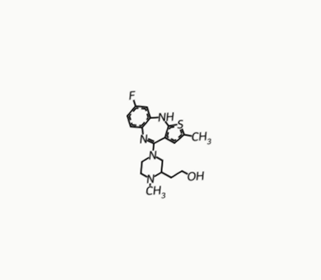 Cc1cc2c(s1)Nc1cc(F)ccc1N=C2N1CCN(C)C(CCO)C1